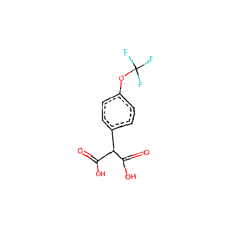 O=C(O)C(C(=O)O)c1ccc(OC(F)(F)F)cc1